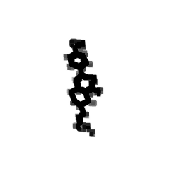 C=CCC1CCc2cc(-c3ccc(O)cc3)nc(F)c2C1